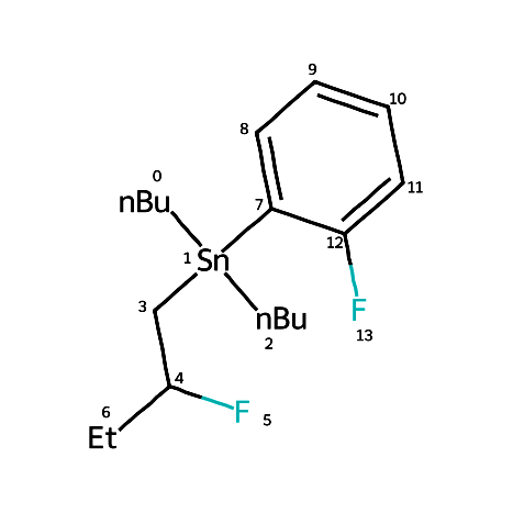 CCC[CH2][Sn]([CH2]CCC)([CH2]C(F)CC)[c]1ccccc1F